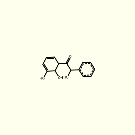 O=C(C(O)c1ccccc1)C1C=CC=C(O)C1O